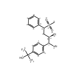 CCCN(c1ncc(C(O)(C(F)(F)F)C(F)(F)F)cn1)[C@H](CC)CN(c1ccccc1)S(C)(=O)=O